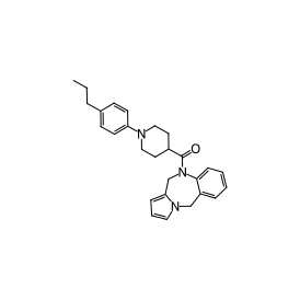 CCCc1ccc(N2CCC(C(=O)N3Cc4cccn4Cc4ccccc43)CC2)cc1